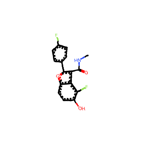 CNC(=O)c1c(-c2ccc(F)cc2)oc2ccc(O)c(F)c12